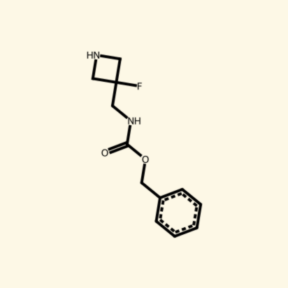 O=C(NCC1(F)CNC1)OCc1ccccc1